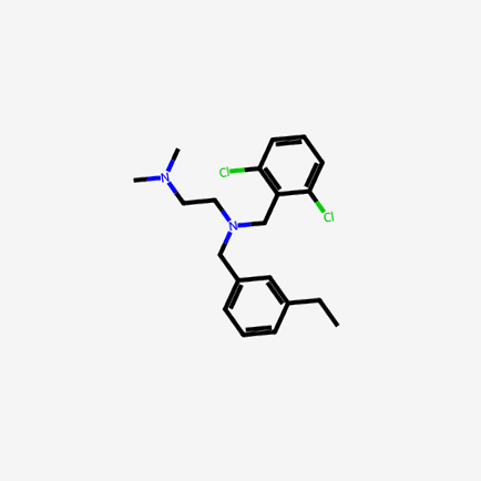 CCc1cccc(CN(CCN(C)C)Cc2c(Cl)cccc2Cl)c1